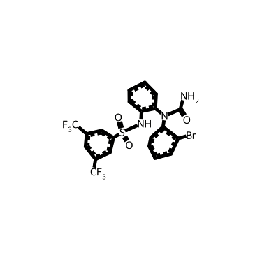 NC(=O)N(c1ccccc1Br)c1ccccc1NS(=O)(=O)c1cc(C(F)(F)F)cc(C(F)(F)F)c1